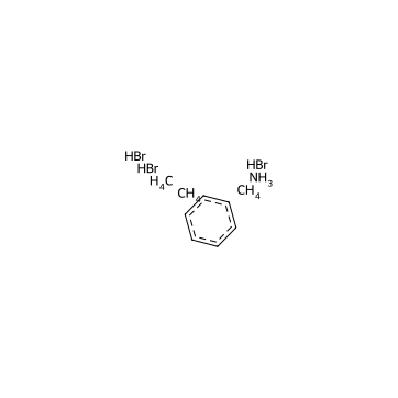 Br.Br.Br.C.C.C.N.c1ccccc1